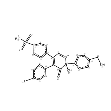 CS(=O)(=O)c1ccc(C2=C(c3ccc(F)cc3)C(=O)[N+](O)(c3ccc(CO)cc3)N=C2)cc1